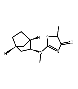 CC1SC(N(C)[C@H]2C[C@@H]3CC[C@H]2C3)=NC1=O